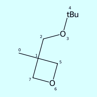 CC1(COC(C)(C)C)COC1